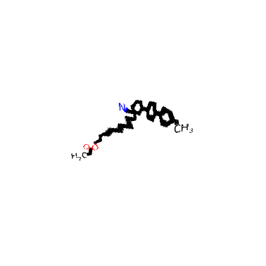 C=CC(=O)OCCCCCCCCCCC1(C#N)CCCC(c2ccc(-c3ccc(CC)cc3)cc2)C1